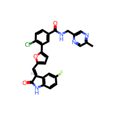 Cc1cnc(CNC(=O)c2ccc(Cl)c(-c3ccc(/C=C4/C(=O)Nc5ccc(F)cc54)o3)c2)cn1